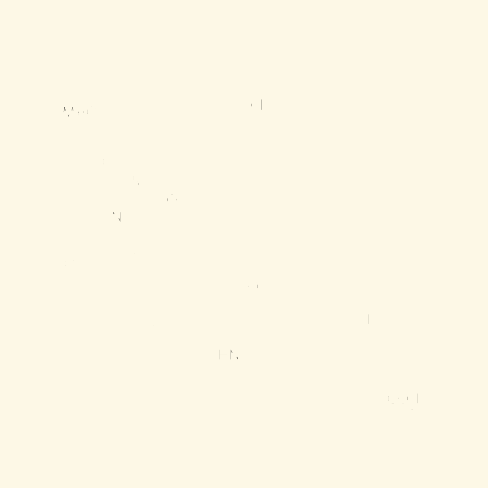 COc1ccc(Cl)cc1S(=O)(=O)N1COc2ccc(C(=O)Nc3ccc(C(=O)O)c(F)c3)cc21